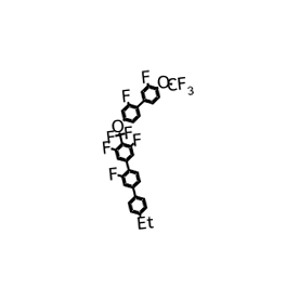 CCc1ccc(-c2ccc(-c3cc(F)c(C(F)(F)Oc4ccc(-c5ccc(OC(F)(F)F)c(F)c5)c(F)c4)c(F)c3)c(F)c2)cc1